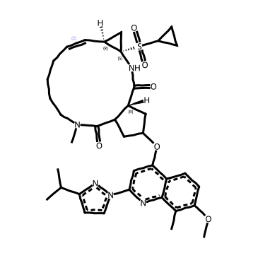 COc1ccc2c(OC3CC4C(=O)N(C)CCCC/C=C\[C@H]5C[C@@]5(S(=O)(=O)C5CC5)NC(=O)[C@@H]4C3)cc(-n3ccc(C(C)C)n3)nc2c1C